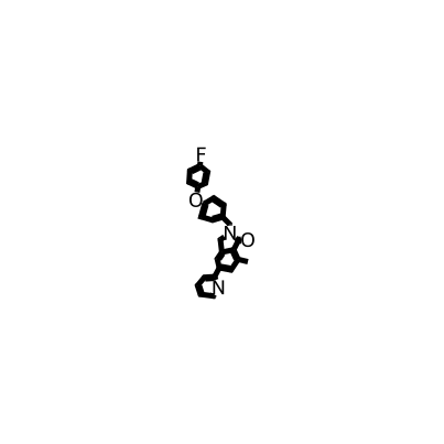 Cc1cc(-c2ccccn2)cc2c1C(=O)N(Cc1ccc(Oc3ccc(F)cc3)cc1)C2